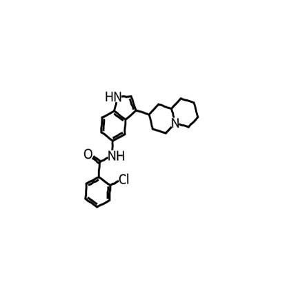 O=C(Nc1ccc2[nH]cc(C3CCN4CCCCC4C3)c2c1)c1ccccc1Cl